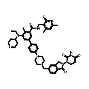 CCN(c1cc(-c2ccc(N3CCN(Cc4ccc5c(c4)CN(N4CCC(=O)NC4=O)C5=O)CC3)cc2)cc(C(=O)NCc2c(C)cc(C)[nH]c2=O)c1C)C1CCOCC1